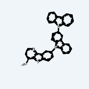 CCCCc1ccnc2c1sc1ccc(-n3c4ccccc4c4cc(-n5c6ccccc6c6ccccc65)ccc43)cc12